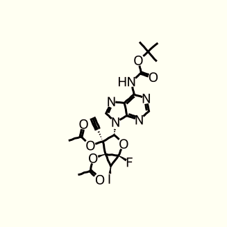 C#C[C@]1(OC(C)=O)[C@H](n2cnc3c(NC(=O)OC(C)(C)C)ncnc32)O[C@]2(F)[C@@H](I)[C@]12OC(C)=O